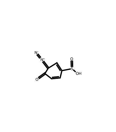 [N-]=[N+]=C1C=C(S(=O)O)C=CC1=O